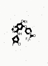 CCOc1cc2ncnc(Nc3ccc(F)c(Cl)c3)c2cc1OC1CCN(C(=O)C(F)(F)F)CC1